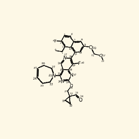 CCc1c(F)ccc2cc(OCOC)cc(-c3ncc4c(N5CCC=CCC5)nc(OCC5(C=O)CC5)nc4c3F)c12